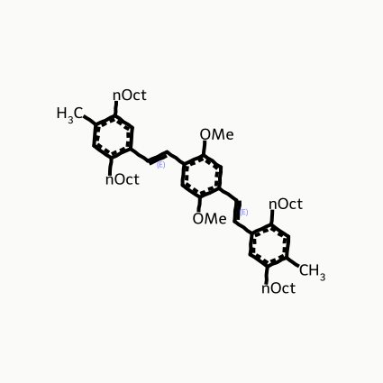 CCCCCCCCc1cc(/C=C/c2cc(OC)c(/C=C/c3cc(CCCCCCCC)c(C)cc3CCCCCCCC)cc2OC)c(CCCCCCCC)cc1C